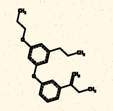 C=C(CC)c1cccc(Oc2cc(CCC)cc(OCCC)c2)c1